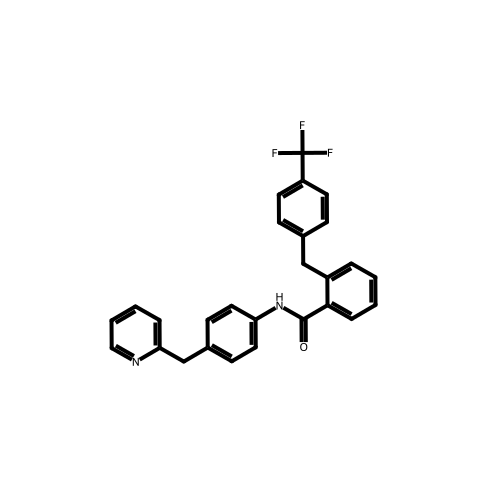 O=C(Nc1ccc(Cc2ccccn2)cc1)c1ccccc1Cc1ccc(C(F)(F)F)cc1